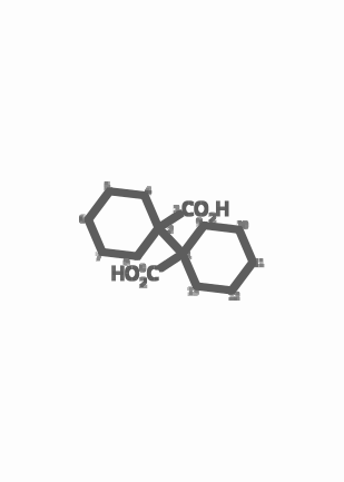 O=C(O)C1(C2(C(=O)O)CCCCC2)CCCCC1